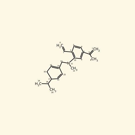 C=Cc1ccc(C(=C)C)cc1N(C)CC1=CCC(C(C)C)C=C1